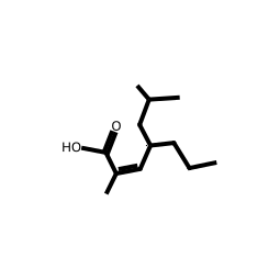 CCC[C](C=C(C)C(=O)O)CC(C)C